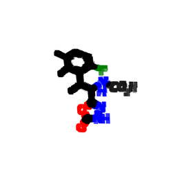 Cc1ccc(F)c(C(C)C(NC(=O)O)c2n[nH]c(=O)o2)c1C